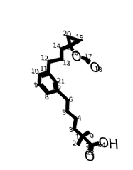 CC(C)(CCCCc1cccc(CCCC2(OC=O)CC2)c1)C(=O)O